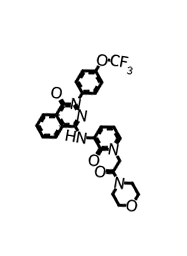 O=C(Cn1cccc(Nc2nn(-c3ccc(OC(F)(F)F)cc3)c(=O)c3ccccc23)c1=O)N1CCOCC1